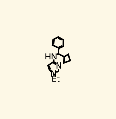 CCN1C=CC(NC(c2ccccc2)C2CCC2)=NC1